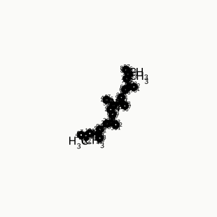 CC1(C)c2ccccc2-c2ccc(-n3c4ccccc4c4cc(-c5ccc6c(c5)c5ccccc5n6-c5ccc6c(ccc7c(-c8ccccc8)nc(-n8c9ccccc9c9cc(-c%10ccc%11c(c%10)c%10ccccc%10n%11-c%10ccc%11c(c%10)C(C)(C)c%10ccccc%10-%11)ccc98)nc76)c5)ccc43)cc21